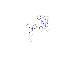 c1ccc(-c2ccc(-n3c4ccccc4c4ccc(-c5ccc6c7ccccc7n(-c7nc8c9c(cccc9n7)Sc7ccccc7-8)c6c5)cc43)cc2)cc1